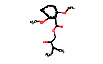 COc1cccc(OC)c1C(=O)OCC(=O)C(C)C